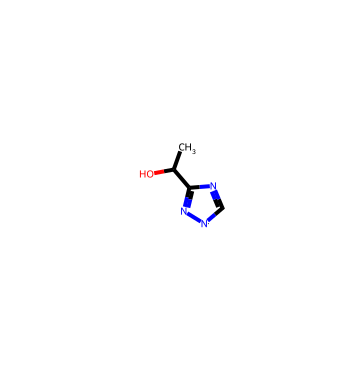 CC(O)C1=N[N]C=N1